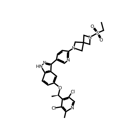 CCS(=O)(=O)N1CC2(CN(c3ccc(-c4n[nH]c5ccc(O[C@H](C)c6c(Cl)cnc(C)c6Cl)cc45)cn3)C2)C1